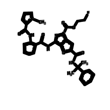 Cn1cccc1C(=O)Nc1ccccc1C(=O)Nc1nn(C(=O)OCCF)c2cc(C(=O)NC(C)(C)c3ccccc3)oc12